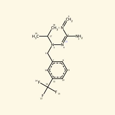 C=N/C(N)=N\N(Cc1cccc(C(F)(F)F)c1)C(C)C